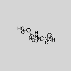 Cn1cc(-c2cccc(C(=O)O)c2)cc(NC(=O)N2CCC(n3c(=O)[nH]c4ncccc43)CC2)c1=O